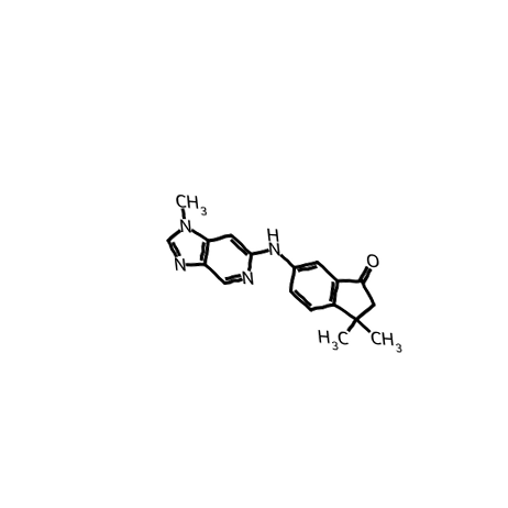 Cn1cnc2cnc(Nc3ccc4c(c3)C(=O)CC4(C)C)cc21